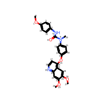 COc1ccc(NC(=O)N(C)c2ccc(Oc3ccnc4cc(OC)c(OC)cc34)cc2)cc1